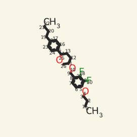 CCCCOc1ccc(COC2CCC(c3ccc(CCCC)cc3)OC2)c(F)c1F